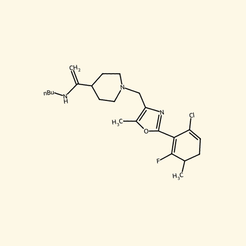 C=C(NCCCC)C1CCN(Cc2nc(C3=C(F)C(C)CC=C3Cl)oc2C)CC1